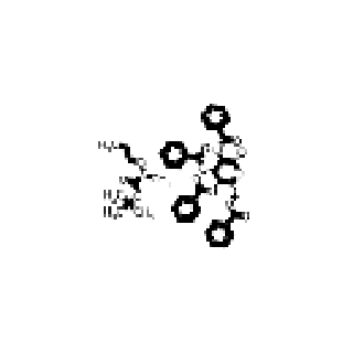 CCCON(C)C(=O)OC(C)(C)C.O=C(OC[C@H]1O[C@@H](O)[C@H](OC(=O)c2ccccc2)[C@@H](OC(=O)c2ccccc2)[C@@H]1OC(=O)c1ccccc1)c1ccccc1